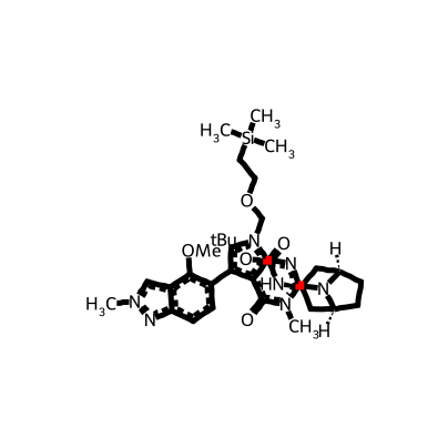 COc1c(-c2cn(COCC[Si](C)(C)C)c3nc(N4[C@@H]5CC[C@H]4C[C@@H](NC(=O)OC(C)(C)C)C5)n(C)c(=O)c23)ccc2nn(C)cc12